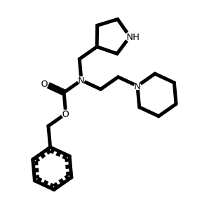 O=C(OCc1ccccc1)N(CCN1CCCCC1)CC1CCNC1